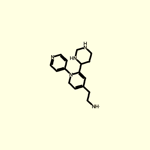 [NH]CCC1=CCN(c2ccncc2)C(C2CCNCN2)=C1